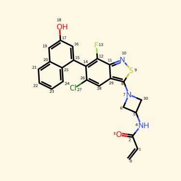 C=CC(=O)NC1CN(c2snc3c(F)c(-c4cc(O)cc5ccccc45)c(Cl)cc23)C1